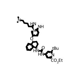 CCOC(=O)c1cc(NC(=O)N[C@H]2CC[C@@H](Oc3ccc(=N)n(C(=N)CCCCN(C)C)c3)c3ccccc32)cc(C(C)(C)C)n1